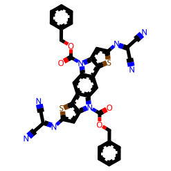 N#CC(C#N)=Nc1cc2c(s1)c1cc3c(cc1n2C(=O)OCc1ccccc1)c1sc(N=C(C#N)C#N)cc1n3C(=O)OCc1ccccc1